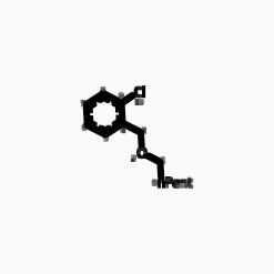 [CH2]CCCCCOCc1ccccc1Cl